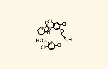 C#CCOc1cc(-n2nc3n(c2=O)CCCC3)c(Cl)cc1Cl.O=C(O)c1nc(Cl)ccc1Cl